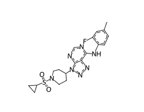 Cc1ccc(Nc2ncnc3c2nnn3C2CCN(S(=O)(=O)C3CC3)CC2)c(F)c1